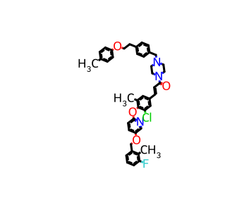 Cc1ccc(OCCc2ccc(CN3CCN(C(=O)/C=C/c4cc(C)c(Oc5ccc(OCc6cccc(F)c6C)cn5)c(Cl)c4)CC3)cc2)cc1